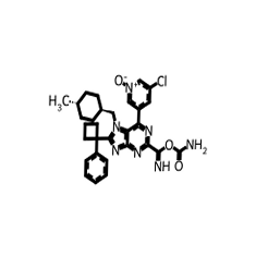 C[C@H]1CC[C@H](Cn2c(C3(c4ccccc4)CCC3)nc3nc(C(=N)OC(N)=O)nc(-c4cc(Cl)c[n+]([O-])c4)c32)CC1